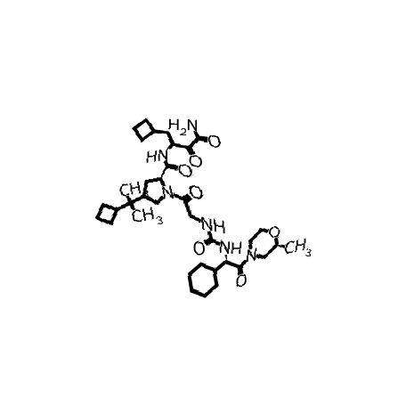 C[C@H]1CN(C(=O)[C@@H](NC(=O)NCC(=O)N2CC(C(C)(C)C3CCC3)C[C@H]2C(=O)NC(CC2CCC2)C(=O)C(N)=O)C2CCCCC2)CCO1